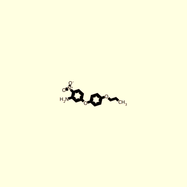 CCCOc1ccc(Oc2ccc([N+](=O)[O-])c(N)c2)cc1